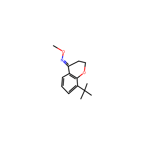 CON=C1CCOc2c1cccc2C(C)(C)C